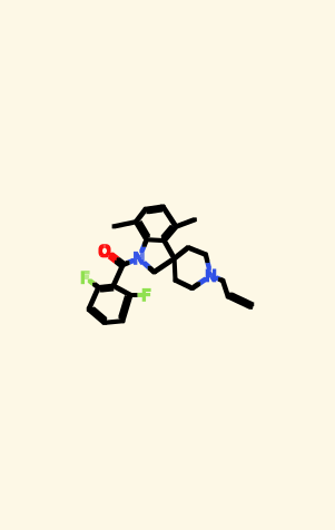 C=CCN1CCC2(CC1)CN(C(=O)c1c(F)cccc1F)c1c(C)ccc(C)c12